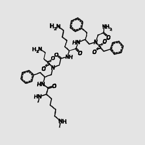 CNCCCCC(NC)C(=O)NC(Cc1ccccc1)CN(CC(=O)NC(CCCCN)C(=O)NC(Cc1ccccc1)CN(CC(N)=O)S(=O)(=O)Cc1ccccc1)S(=O)(=O)CCN